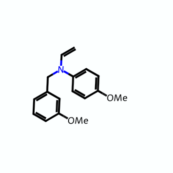 C=CN(Cc1cccc(OC)c1)c1ccc(OC)cc1